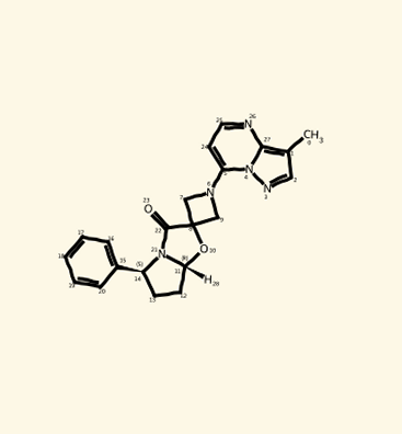 Cc1cnn2c(N3CC4(C3)O[C@@H]3CC[C@@H](c5ccccc5)N3C4=O)ccnc12